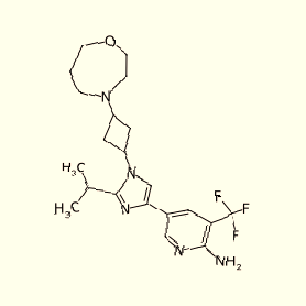 CC(C)c1nc(-c2cnc(N)c(C(F)(F)F)c2)cn1C1CC(N2CCCOCC2)C1